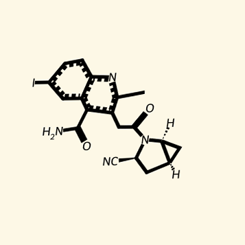 Cc1nc2ccc(I)cc2c(C(N)=O)c1CC(=O)N1[C@H](C#N)C[C@@H]2C[C@@H]21